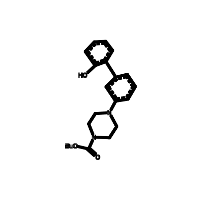 CC(C)COC(=O)N1CCN(c2cccc(-c3ccccc3O)c2)CC1